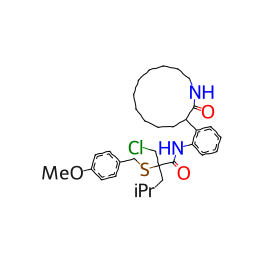 COc1ccc(CSC(CCl)(CC(C)C)C(=O)Nc2ccccc2C2CCCCCCCCCCNC2=O)cc1